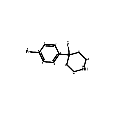 FC1(c2ccc(Br)cc2)CCNCC1